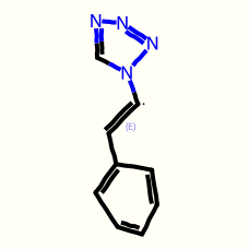 [C](=C\c1ccccc1)/n1cnnn1